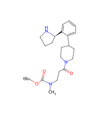 CN(CCC(=O)N1CCC(c2ccccc2[C@H]2CCCN2)CC1)C(=O)OC(C)(C)C